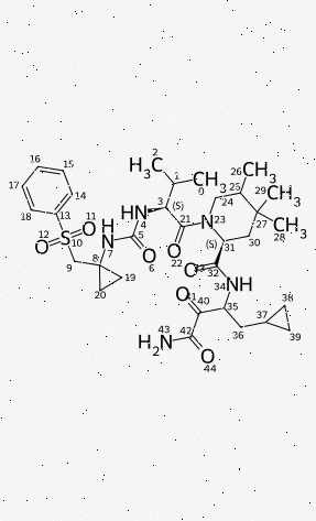 CC(C)[C@H](NC(=O)NC1(CS(=O)(=O)c2ccccc2)CC1)C(=O)N1CC(C)C(C)(C)C[C@H]1C(=O)NC(CC1CC1)C(=O)C(N)=O